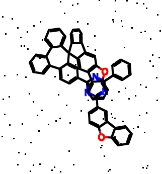 c1ccc(-c2nc(-c3ccc4c(c3)C3(c5ccccc5-c5ccccc5-4)c4ccccc4-c4cc5oc6ccccc6c5cc43)nc(-c3ccc4oc5ccccc5c4c3)n2)cc1